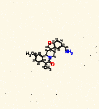 C=C(C(=O)N1CCC2(CC1)COc1ccc(CN)cc12)c1ccc(C)cc1